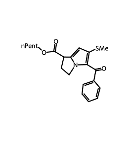 CCCCCOC(=O)C1CCn2c1cc(SC)c2C(=O)c1ccccc1